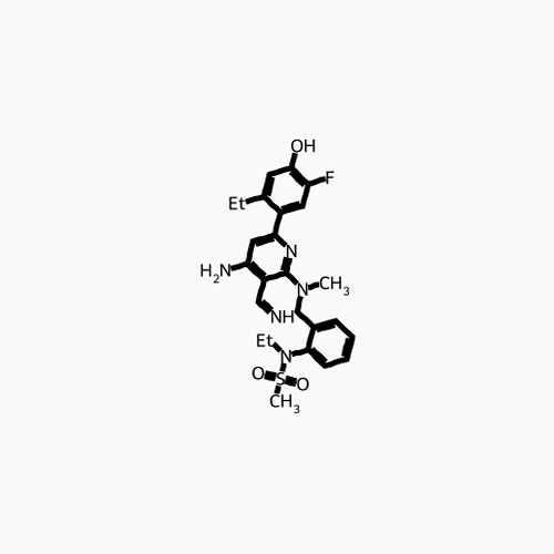 CCc1cc(O)c(F)cc1-c1cc(N)c(C=N)c(N(C)Cc2ccccc2N(CC)S(C)(=O)=O)n1